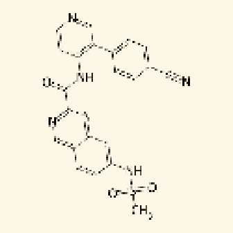 CS(=O)(=O)Nc1ccc2cnc(C(=O)Nc3ccncc3-c3ccc(C#N)cc3)nc2c1